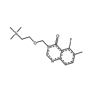 Cc1ccc2ncn(COCC[Si](C)(C)C)c(=O)c2c1F